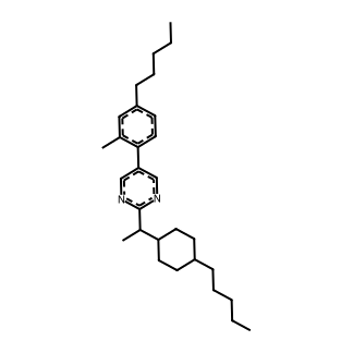 CCCCCc1ccc(-c2cnc(C(C)C3CCC(CCCCC)CC3)nc2)c(C)c1